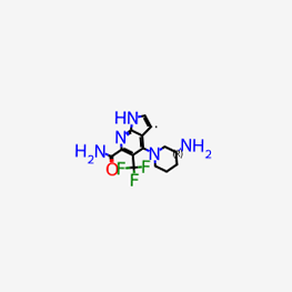 NC(=O)c1nc2[nH]c[c]c2c(N2CCC[C@@H](N)C2)c1C(F)(F)F